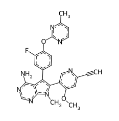 C#Cc1cc(OC)c(-c2c(-c3ccc(Oc4nccc(C)n4)c(F)c3)c3c(N)ncnc3n2C)cn1